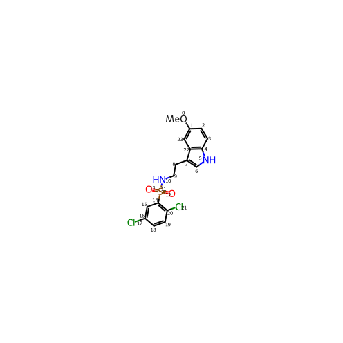 COc1ccc2[nH]cc(CCNS(=O)(=O)c3cc(Cl)ccc3Cl)c2c1